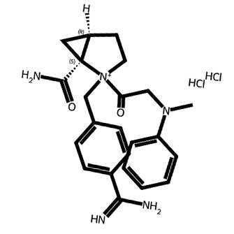 CN(CC(=O)[N+]1(Cc2ccc(C(=N)N)cc2)CC[C@@H]2C[C@@]21C(N)=O)c1ccccc1.Cl.Cl